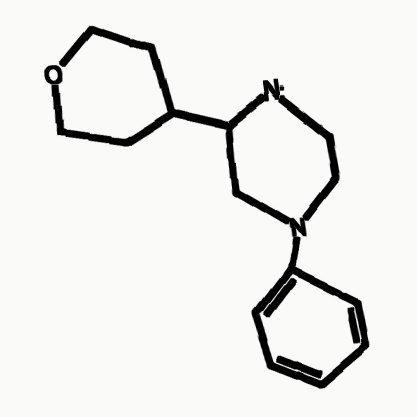 c1ccc(N2CC[N]C(C3CCOCC3)C2)cc1